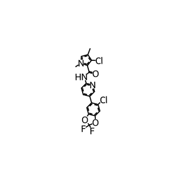 Cc1cn(C)c(C(=O)Nc2ccc(-c3cc4c(cc3Cl)OC(F)(F)O4)cn2)c1Cl